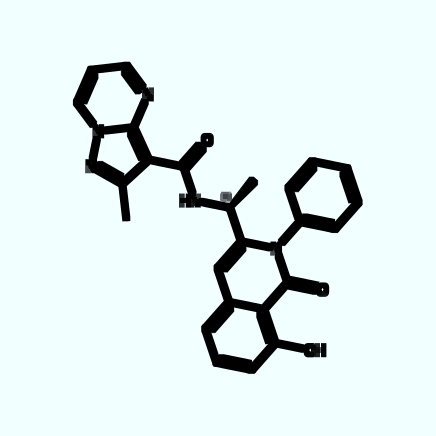 Cc1nn2cccnc2c1C(=O)N[C@@H](C)c1cc2cccc(O)c2c(=O)n1-c1ccccc1